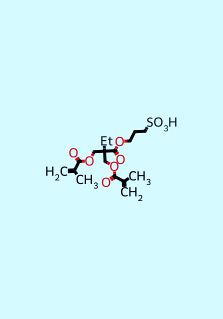 C=C(C)C(=O)OCC(CC)(COC(=O)C(=C)C)C(=O)OCCCS(=O)(=O)O